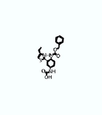 CCc1csc([C@@H]2C[C@H](NC(=O)O)CC[C@@H]2NC(=O)OCc2ccccc2)n1